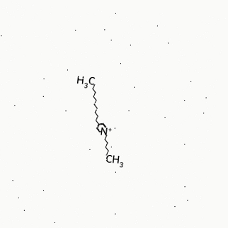 CCCCCCCCCCCc1cc[n+](CCCCCCC)cc1